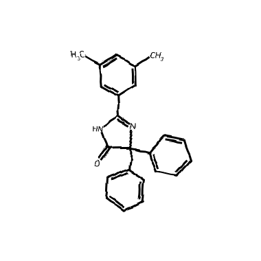 Cc1cc(C)cc(C2=NC(c3ccccc3)(c3ccccc3)C(=O)N2)c1